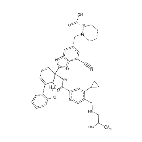 CC(O)CNCc1cnc(C(=O)NC2(c3nc4cc(CN5CCCC[C@H]5C(=O)O)cc(C#N)c4o3)C=CC=C(c3ccccc3Cl)C2C)cc1C1CC1